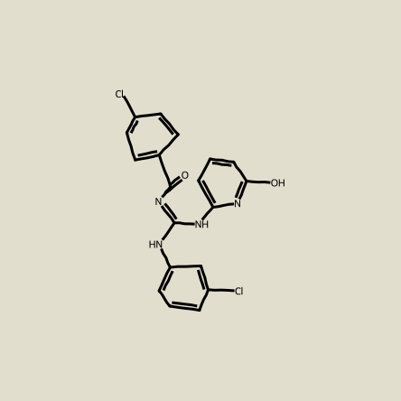 O=C(/N=C(/Nc1cccc(Cl)c1)Nc1cccc(O)n1)c1ccc(Cl)cc1